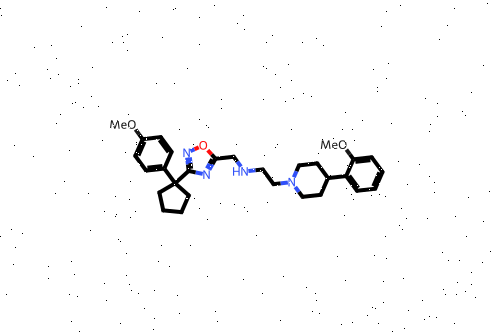 COc1ccc(C2(c3noc(CNCCN4CCC(c5ccccc5OC)CC4)n3)CCCC2)cc1